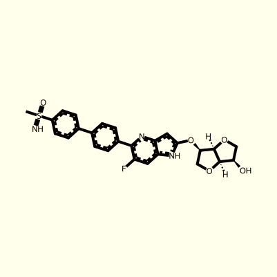 CS(=N)(=O)c1ccc(-c2ccc(-c3nc4cc(O[C@@H]5CO[C@H]6[C@@H]5OC[C@H]6O)[nH]c4cc3F)cc2)cc1